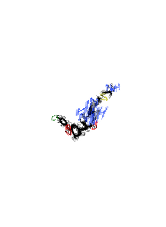 Cc1[nH]cnc1CSCCNc1ncc(Cc2ccc(Oc3ccc(Cl)cc3)cc2)c(=O)[nH]1